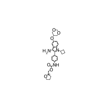 Nc1c(-c2ccc(NC(=O)OC[C@H]3CCCO3)cc2)n(C2CCC2)c2ccc(OC3COCOC3)cc12